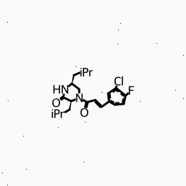 CC(C)C[C@H]1CN(C(=O)C=Cc2ccc(F)c(Cl)c2)[C@@H](CC(C)C)C(=O)N1